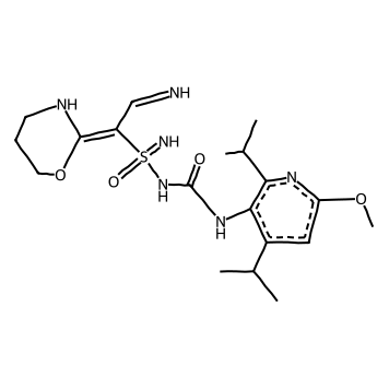 COc1cc(C(C)C)c(NC(=O)NS(=N)(=O)/C(C=N)=C2/NCCCO2)c(C(C)C)n1